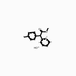 COC(=O)C(c1ccc(C)cc1)c1ccccn1.Cl